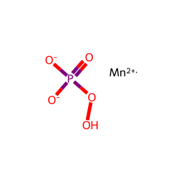 O=P([O-])([O-])OO.[Mn+2]